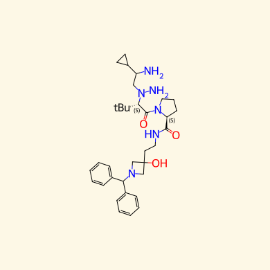 CC(C)(C)[C@@H](C(=O)N1CCC[C@H]1C(=O)NCCC1(O)CN(C(c2ccccc2)c2ccccc2)C1)N(N)CC(N)C1CC1